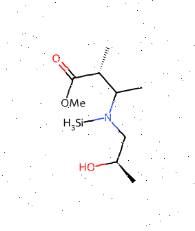 COC(=O)[C@H](C)C(C)N([SiH3])C[C@@H](C)O